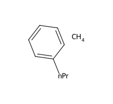 C.CCCc1ccccc1